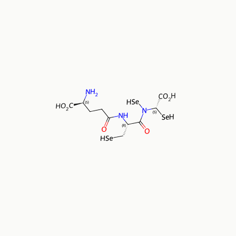 N[C@@H](CCC(=O)N[C@@H](C[SeH])C(=O)N([SeH])[C@@H]([SeH])C(=O)O)C(=O)O